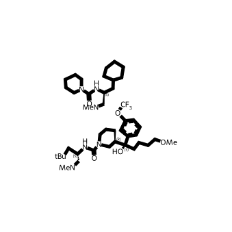 CNC[C@H](CC(C)(C)C)NC(=O)N1CCC[C@@H]([C@@](O)(CCCCOC)c2cccc(OC(F)(F)F)c2)C1.CNC[C@H](CC1CCCCC1)NC(=O)N1CCCCC1